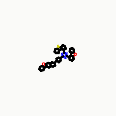 C1=CCC2Oc3cc4cc(-c5ccc(-c6nc(-c7cccc8oc9ccccc9c78)nc(-c7cccc8sc9ccccc9c78)n6)cc5)ccc4cc3C2=C1